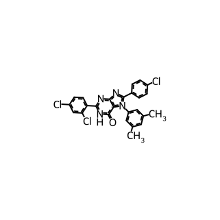 Cc1cc(C)cc(-n2c(-c3ccc(Cl)cc3)nc3nc(-c4ccc(Cl)cc4Cl)[nH]c(=O)c32)c1